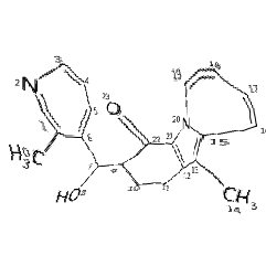 Cc1ncccc1C(O)C1CCc2c(C)c3ccccn3c2C1=O